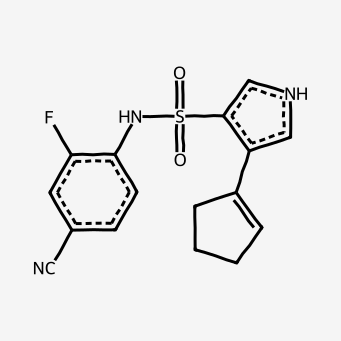 N#Cc1ccc(NS(=O)(=O)c2c[nH]cc2C2=CCCC2)c(F)c1